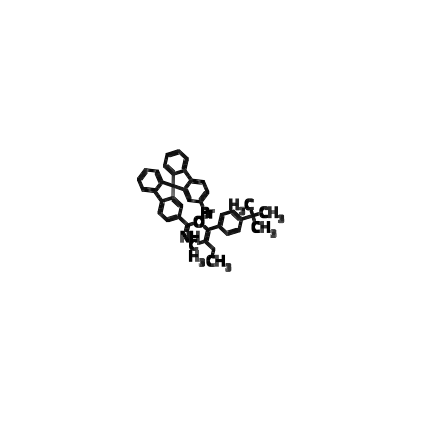 CC/C(C)=C(/OC(=N)c1ccc2c(c1)C1(c3ccccc3-c3ccc(Br)cc31)c1ccccc1-2)c1ccc(C(C)(C)C)cc1